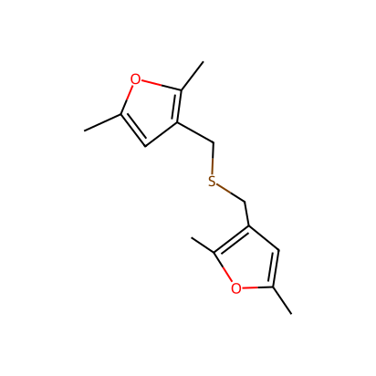 Cc1cc(CSCc2cc(C)oc2C)c(C)o1